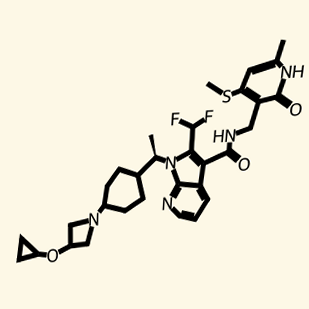 CSc1cc(C)[nH]c(=O)c1CNC(=O)c1c(C(F)F)n([C@H](C)C2CCC(N3CC(OC4CC4)C3)CC2)c2ncccc12